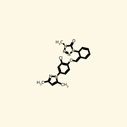 Cc1cc(C)n(-c2ccc(OC=C3C=CC=CC3n3nnn(C)c3=O)c(Cl)c2)n1